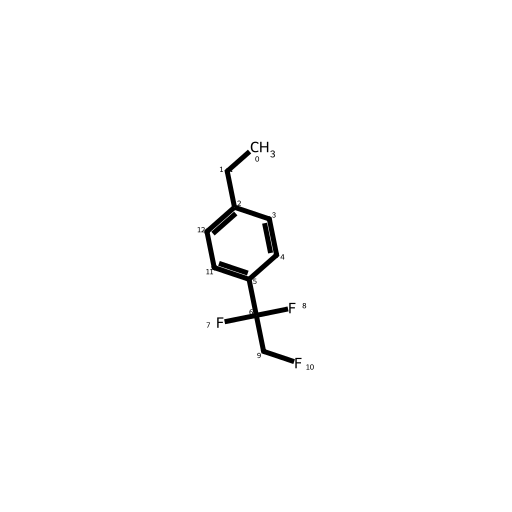 C[CH]c1ccc(C(F)(F)CF)cc1